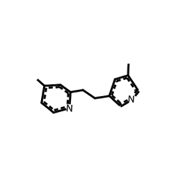 Cc1cncc(CCc2cc(C)ccn2)c1